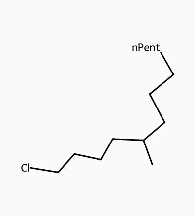 CCCCCCCCC(C)CCCCCl